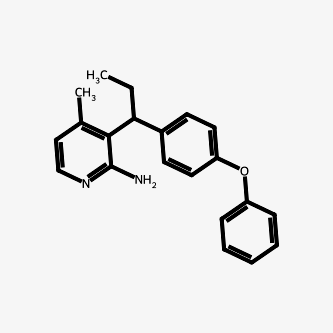 CCC(c1ccc(Oc2ccccc2)cc1)c1c(C)ccnc1N